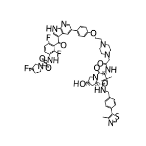 Cc1ncsc1-c1ccc(CNC(=O)[C@@H]2C[C@@H](O)CN2C(=O)[C@@H](NC(=O)CN2CCN(CCOc3ccc(-c4cnc5[nH]cc(C(=O)c6c(F)ccc(NS(=O)(=O)N7CC[C@@H](F)C7)c6F)c5c4)cc3)CC2)C(C)(C)C)cc1